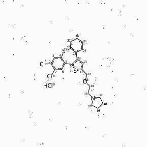 Cl.Clc1cc2c(cc1Cl)-c1sc(COCCN3CCCC3)cc1-c1ccccc1S2